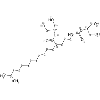 CC(C)CCCCCCCCCCN(CCCNC(=O)OC(CO)CO)C(=O)OC(CO)CO